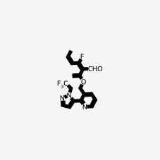 C=C(OCc1cccnc1-c1ccnn1CC(F)(F)F)/C(C=O)=C(F)\C=C/C